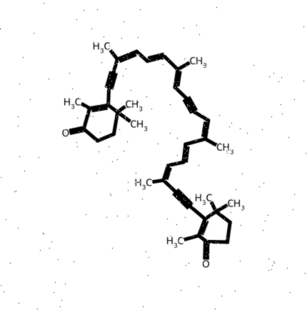 CC(C#CC1=C(C)C(=O)CCC1(C)C)=CC=CC(C)=CC#CC=C(C)C=CC=C(C)C#CC1=C(C)C(=O)CCC1(C)C